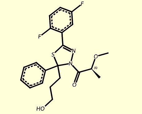 CO[C@@H](C)C(=O)N1N=C(c2cc(F)ccc2F)SC1(CCCO)c1ccccc1